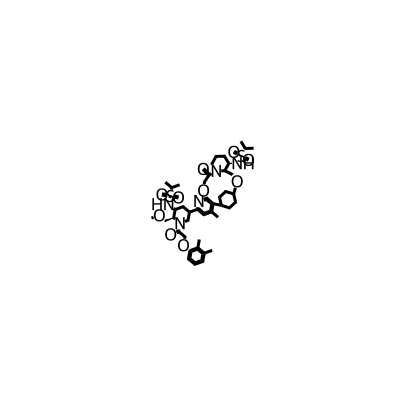 COC[C@H]1C(NS(=O)(=O)C(C)C)CC(c2cc(C)c3c(n2)OCC(=O)N2CCC[C@H](NS(=O)(=O)C(C)C)C2COC2CCC3CC2)CN1C(=O)COc1cccc(C)c1C